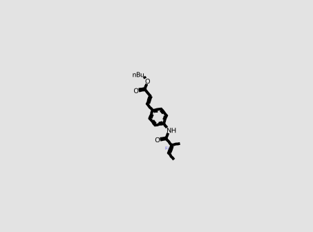 C/C=C(\C)C(=O)Nc1ccc(C=CC(=O)OCCCC)cc1